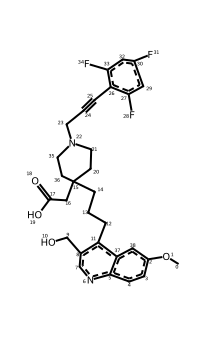 COc1ccc2ncc(CO)c(CCCC3(CC(=O)O)CCN(CC#Cc4c(F)cc(F)cc4F)CC3)c2c1